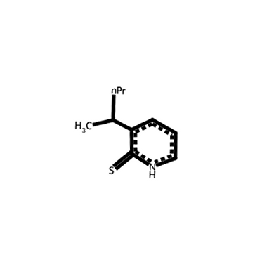 CCCC(C)c1ccc[nH]c1=S